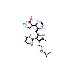 Cc1[nH]c(C=C2NC=CN=C2C2C=NNC2=O)c(-c2ncccn2)c1CCNC1CC1